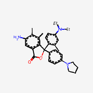 CCN(CC)c1ccc(C2(c3ccc(N4CCCC4)cc3)OC(=O)c3cc(N)c(C)c(C)c32)c(C)c1